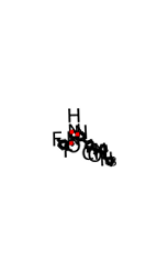 CC1CC(c2cnc3c(c2)N(C(=O)c2cc(F)ccc2F)CCN3)=CC=C1C(=O)N1CCC[C@H]1CN1CCCC1